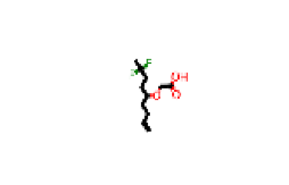 C=CCCC(CCC(C)(F)F)OCC(=O)O